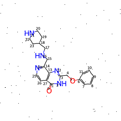 O=c1[nH]c(COc2ccccc2)nc2c(CNCC3CCNCC3)nccc12